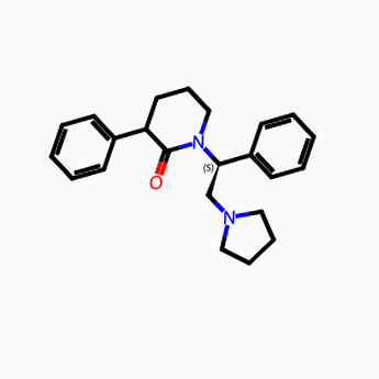 O=C1C(c2ccccc2)CCCN1[C@H](CN1CCCC1)c1ccccc1